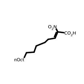 CCCCCCCCCCCCCC=C(C(=O)O)[N+](=O)[O-]